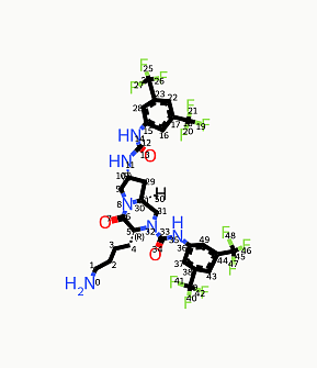 NCCCC[C@@H]1C(=O)N2C[C@H](NC(=O)Nc3cc(C(F)(F)F)cc(C(F)(F)F)c3)C[C@H]2CN1C(=O)Nc1cc(C(F)(F)F)cc(C(F)(F)F)c1